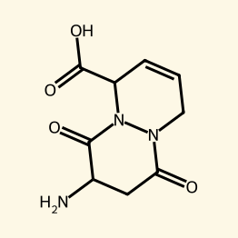 NC1CC(=O)N2CC=CC(C(=O)O)N2C1=O